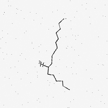 [3H]C(CCCCCC)CCCCCCCC[CH2]